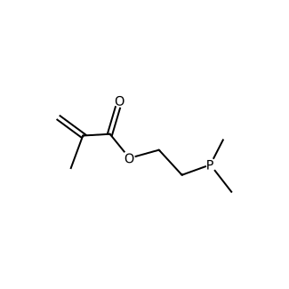 C=C(C)C(=O)OCCP(C)C